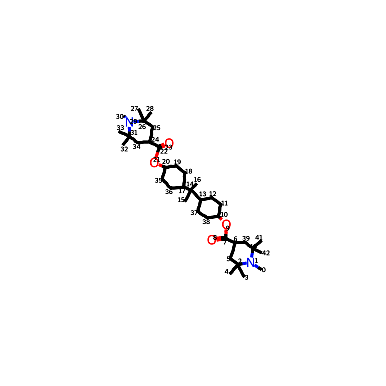 CN1C(C)(C)CC(C(=O)OC2CCC(C(C)(C)C3CCC(OC(=O)C4CC(C)(C)N(C)C(C)(C)C4)CC3)CC2)CC1(C)C